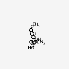 CCOc1ccc(Cc2cc([C@@]34OC[C@@](CO)(C[C@H](C)[C@H]3O)O4)ccc2Cl)cc1